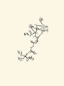 CC(C)(C)C(=O)CCC(=O)OC1CC(C)(C)N(CCO)C(C)(C)C1